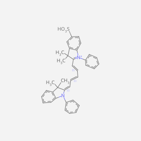 CC1(C)C(/C=C/C=C/C=C2/N(c3ccccc3)c3ccccc3C2(C)C)=[N+](c2ccccc2)c2ccc(S(=O)(=O)O)cc21